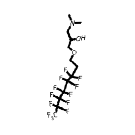 CN(C)CC(O)COCCC(F)(F)C(F)(F)C(F)(F)C(F)(F)C(F)(F)C(F)(F)F